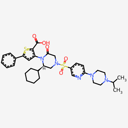 CC(C)N1CCN(c2ccc(S(=O)(=O)N3CC(=O)N(c4cc(-c5ccccc5)sc4C(=O)O)[C@H](C4CCCCC4)C3)cn2)CC1